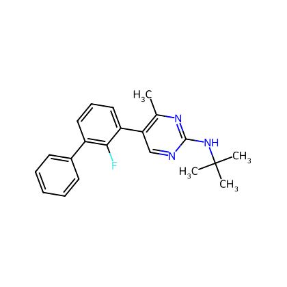 Cc1nc(NC(C)(C)C)ncc1-c1cccc(-c2ccccc2)c1F